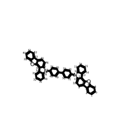 c1ccc2c(c1)oc1c2ccc2c1c1ccccc1n2-c1ccc(-c2ccc(-n3c4ccccc4c4c5oc6ccccc6c5ccc43)cc2)cc1